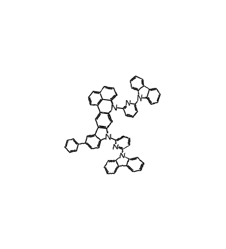 c1ccc(-c2ccc3c(c2)c2cc4c(cc2n3-c2cccc(-n3c5ccccc5c5ccccc53)n2)N(c2cccc(-n3c5ccccc5c5ccccc53)n2)c2cccc3cccc-4c23)cc1